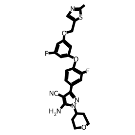 Cc1ncc(COc2cc(F)cc(Oc3ccc(-c4nn(C5CCOCC5)c(N)c4C#N)cc3F)c2)s1